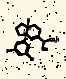 CC(C)(C)N(C(=O)O)C1=N[C@@]2(c3cc(F)cc(Br)c3)CCC[C@H]2CS1